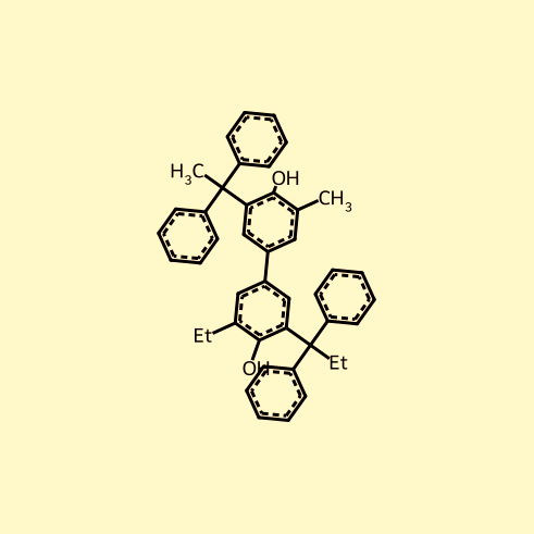 CCc1cc(-c2cc(C)c(O)c(C(C)(c3ccccc3)c3ccccc3)c2)cc(C(CC)(c2ccccc2)c2ccccc2)c1O